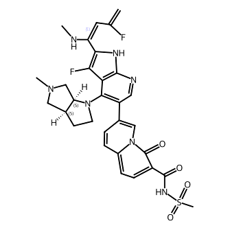 C=C(F)/C=C(/NC)c1[nH]c2ncc(-c3ccc4ccc(C(=O)NS(C)(=O)=O)c(=O)n4c3)c(N3CC[C@H]4CN(C)C[C@H]43)c2c1F